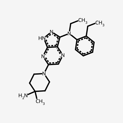 CCc1ccccc1N(CC)c1n[nH]c2nc(N3CCC(C)(N)CC3)cnc12